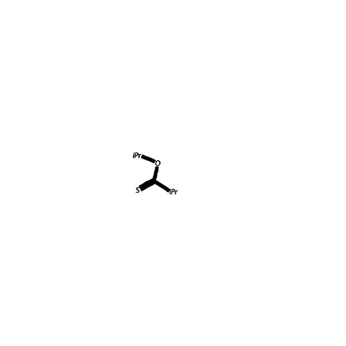 CC(C)OC(=S)C(C)C